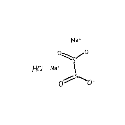 Cl.O=S([O-])S(=O)[O-].[Na+].[Na+]